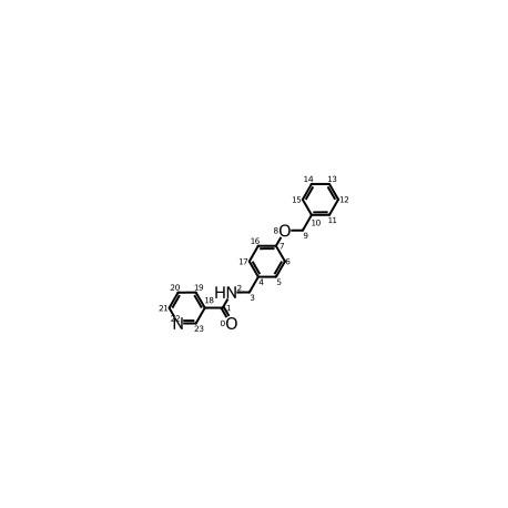 O=C(NCc1ccc(OCc2ccccc2)cc1)c1cccnc1